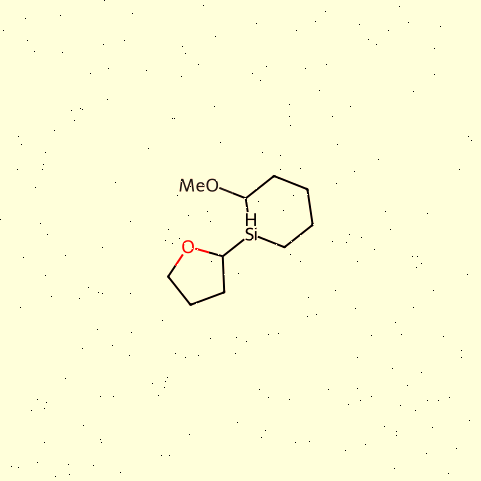 COC1CCCC[SiH]1C1CCCO1